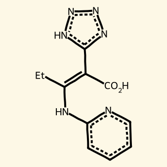 CCC(Nc1ccccn1)=C(C(=O)O)c1nnn[nH]1